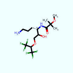 COC(C)(C)C(=O)N[C@@H](CCCN)C(O)COC(C(F)(F)F)C(F)(F)F